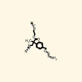 CC(CN=[N+]=[N-])(C(=O)OCCN=[N+]=[N-])c1ccc(CON=NN)cc1